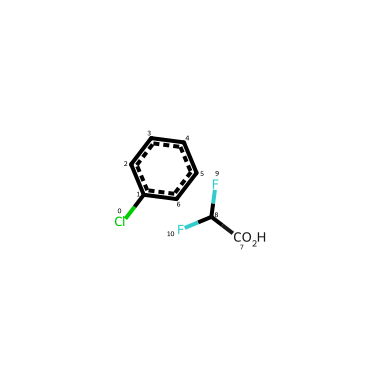 Clc1ccccc1.O=C(O)C(F)F